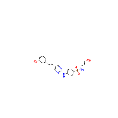 O=S(=O)(NCCCO)c1ccc(Nc2ncc(/C=C/c3cccc(O)c3)cn2)cc1